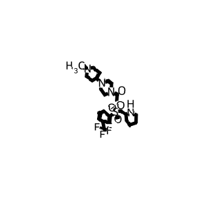 CN1CCC(N2CCN(C(=O)COC(C3CCCCN3)S(=O)(=O)c3cccc(C(F)(F)F)c3)CC2)CC1